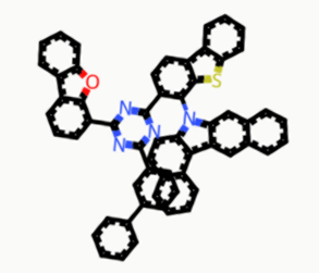 c1ccc(-c2cccc(-c3nc(-c4ccc5c(sc6ccccc65)c4-n4c5cc6ccccc6cc5c5c6ccccc6ccc54)nc(-c4cccc5c4oc4ccccc45)n3)c2)cc1